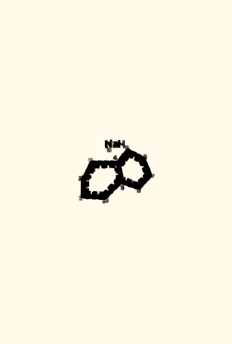 [NaH].c1ccc2ccccc2c1